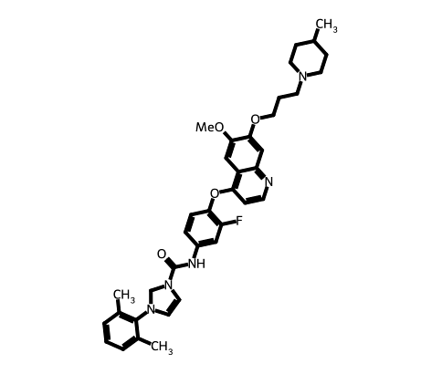 COc1cc2c(Oc3ccc(NC(=O)N4C=CN(c5c(C)cccc5C)C4)cc3F)ccnc2cc1OCCCN1CCC(C)CC1